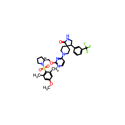 COc1cc(C)c(S(=O)(=O)N2CCC[C@H]2COc2nccc(N3CCC4(CC3)C(=O)NCC4c3cccc(C(F)(F)F)c3)n2)c(C)c1